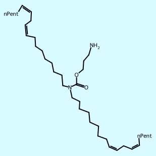 CCCCC/C=C\C/C=C\CCCCCCCCN(CCCCCCCC/C=C\C/C=C\CCCCC)C(=O)OCCCN